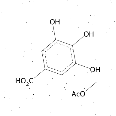 COC(C)=O.O=C(O)c1cc(O)c(O)c(O)c1